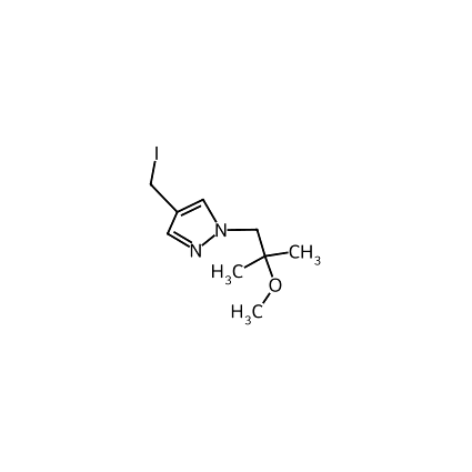 COC(C)(C)Cn1cc(CI)cn1